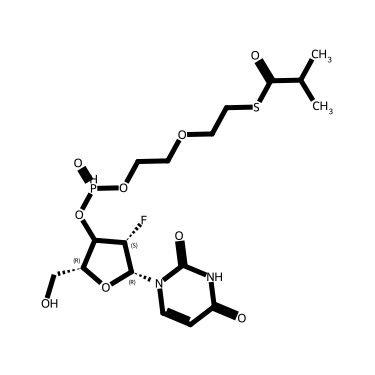 CC(C)C(=O)SCCOCCO[PH](=O)OC1[C@@H](CO)O[C@@H](n2ccc(=O)[nH]c2=O)[C@H]1F